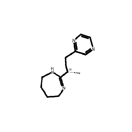 C[C@@H](Cc1cnccn1)C1=NCCCCN1